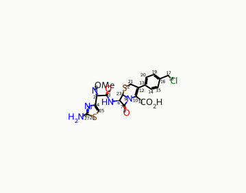 CO/N=C(\C(=O)N[C@@H]1C(=O)N2C(C(=O)O)=C(c3ccc(CCl)cc3)CSC12)c1csc(N)n1